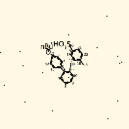 CCCCOc1ccc(-c2ccccc2I)cc1.Cc1ccc(S(=O)(=O)O)cc1